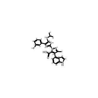 Cc1nn(-c2nc(-c3cccc(F)c3)c(SC(C)C)s2)c(C(=O)O)c1-c1cccc2[nH]ccc12